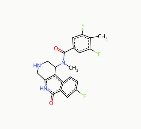 Cc1c(F)cc(C(=O)N(C)C2CNCc3[nH]c(=O)c4cc(F)ccc4c32)cc1F